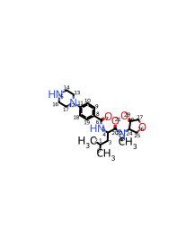 CC(C)CC(NC(=O)c1ccc(N2CCNCC2)cc1)C(=O)N(C)C1COCC1=O